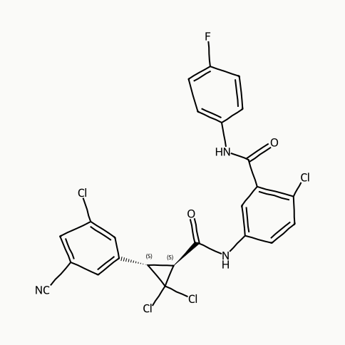 N#Cc1cc(Cl)cc([C@@H]2[C@@H](C(=O)Nc3ccc(Cl)c(C(=O)Nc4ccc(F)cc4)c3)C2(Cl)Cl)c1